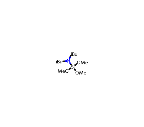 CCC(C)N(C(C)CC)[Si](OC)(OC)OC